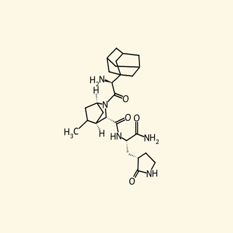 CC1C[C@@H]2C[C@H]1[C@@H](C(=O)N[C@@H](C[C@@H]1CCNC1=O)C(N)=O)N2C(=O)[C@@H](N)C12CC3CC(CC(C3)C1)C2